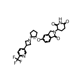 O=C1CCC(N2Cc3cc(O[C@H]4CCC[C@H]4N4CC(c5ccc(C(F)(F)F)nc5)C4)ccc3C2=O)C(=O)N1